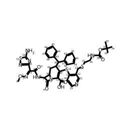 CON=C(C(=O)NC1C(=O)N2C(C(=O)O)=C(Sc3ccncc3CSCCNC(=O)OC(C)(C)C)C(C(c3ccccc3)c3ccccc3)CC12)c1nsc(N)n1